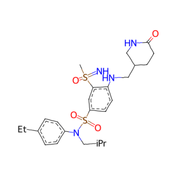 CCc1ccc(N(CC(C)C)S(=O)(=O)c2ccc(NCC3CCC(=O)NC3)c(S(C)(=N)=O)c2)cc1